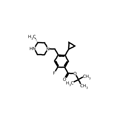 C[C@@H]1CN(Cc2cc(F)c(C(=O)OC(C)(C)C)cc2C2CC2)CCN1